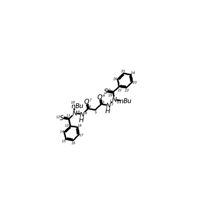 CCCCN(NC(=O)CC(=O)NN(CCCC)C(=S)c1ccccc1)C(=S)c1ccccc1